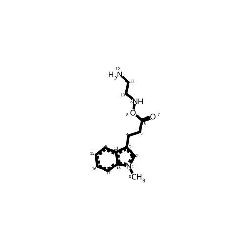 Cn1cc(CCC(=O)ONCCN)c2ccccc21